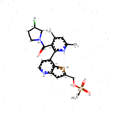 Cc1cc(C(F)(F)F)nc(-c2ccnc3cc(COS(C)(=O)=O)sc23)c1C(=O)N1CCC(F)C1